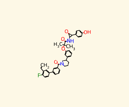 C=Cc1cc(-c2cccc(C(=O)N3CCCC(c4cccc(OC(C)(C)C(=O)NC5C(=O)C5c5ccc(O)cc5)c4)C3)c2)ccc1F